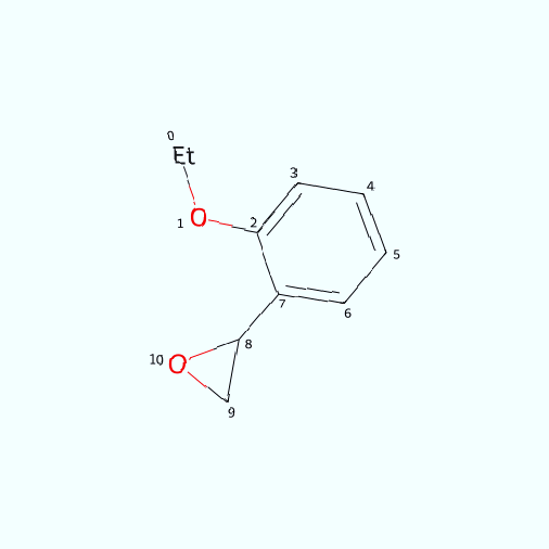 CCOc1ccccc1C1CO1